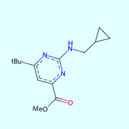 COC(=O)c1cc(C(C)(C)C)nc(NCC2CC2)n1